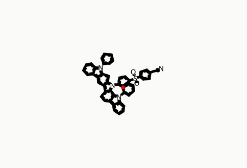 N#Cc1ccc(S(=O)(=O)c2ccc(-n3c4cc5c(cc4c4ccc6c7ccccc7n(-c7ccccc7)c6c43)c3ccccc3n5-c3ccccc3)cc2)cc1